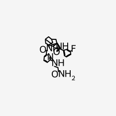 NC(=O)CCNc1cccc(C(=O)NC23CC4CC(CC(NC(=O)c5cccc(F)c5)(C4)C2)C3)n1